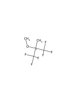 CO[Si](C)(C(F)(F)F)C(F)(F)F